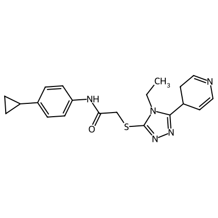 CCn1c(SCC(=O)Nc2ccc(C3CC3)cc2)nnc1C1C=CN=CC1